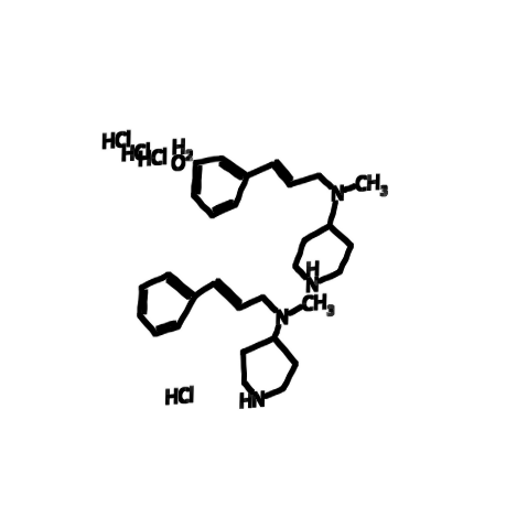 CN(CC=Cc1ccccc1)C1CCNCC1.CN(CC=Cc1ccccc1)C1CCNCC1.Cl.Cl.Cl.Cl.O